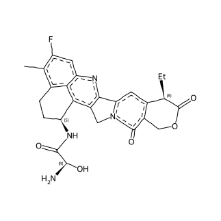 CC[C@H]1C(=O)OCc2c1cc1n(c2=O)Cc2c-1nc1cc(F)c(C)c3c1c2[C@@H](NC(=O)[C@H](N)O)CC3